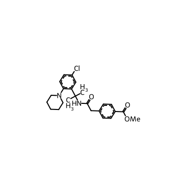 COC(=O)c1ccc(CC(=O)NC(C)(C)c2cc(Cl)ccc2N2CCCCC2)cc1